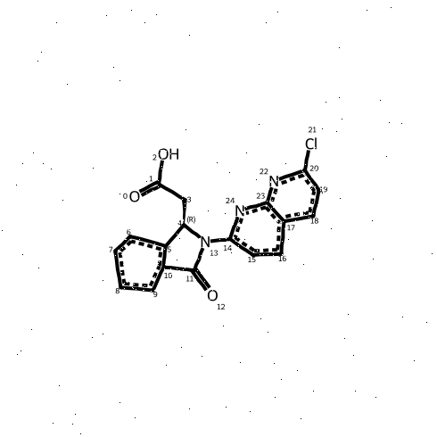 O=C(O)C[C@@H]1c2ccccc2C(=O)N1c1ccc2ccc(Cl)nc2n1